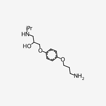 CC(C)NCC(O)COc1ccc(OCCCN)cc1